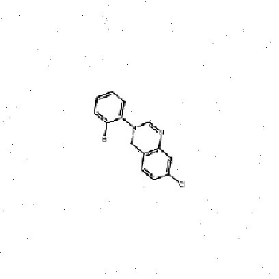 Clc1ccc2c(c1)N=CN(c1ccccc1Br)C2